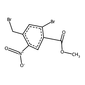 COC(=O)c1cc([N+](=O)[O-])c(CBr)cc1Br